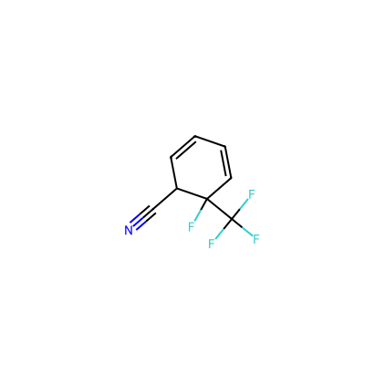 N#CC1C=CC=CC1(F)C(F)(F)F